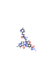 CCn1nc(C)cc1C(=O)Nc1nc2cc(C(N)=O)cc3c2n1[C@@H](CCCNC(=O)/C=C/c1ccccn1)CO3